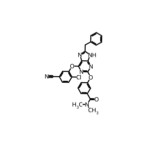 CN(C)C(=O)c1cccc(Oc2nc(Oc3cc(C#N)ccc3Cl)c3nc(Cc4ccccc4)[nH]c3n2)c1